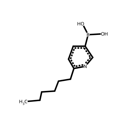 CCCCCCc1ccc(B(O)O)cn1